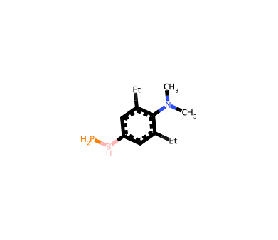 CCc1cc(BP)cc(CC)c1N(C)C